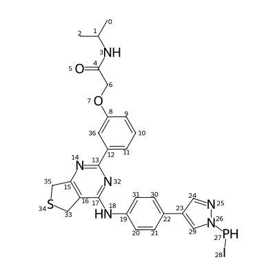 CC(C)NC(=O)COc1cccc(-c2nc3c(c(Nc4ccc(-c5cnn(PI)c5)cc4)n2)CSC3)c1